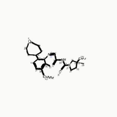 C=C(/C=N\c1c(C2CCOCC2)ccc(OC)c1C)NC(=O)N1CC[C@@](C)(O)C1